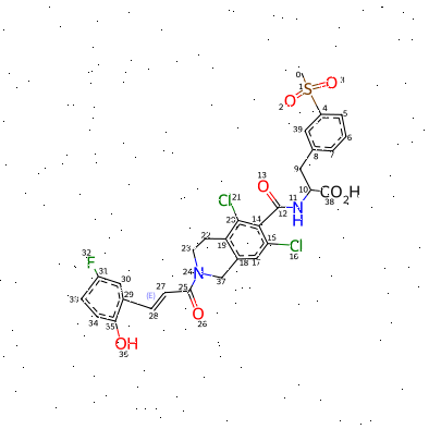 CS(=O)(=O)c1cccc(CC(NC(=O)c2c(Cl)cc3c(c2Cl)CCN(C(=O)/C=C/c2cc(F)ccc2O)C3)C(=O)O)c1